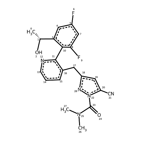 C[C@@H](O)c1cc(F)cc(F)c1-c1ncccc1Cc1cc(C#N)n(C(=O)N(C)C)n1